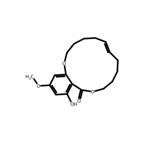 COc1cc(O)c2c(c1)OCCCC/C=C/CCCCOC2=O